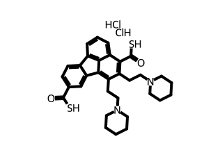 Cl.Cl.O=C(S)c1ccc2c(c1)-c1c(CCN3CCCCC3)c(CCN3CCCCC3)c(C(=O)S)c3cccc-2c13